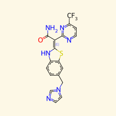 NC(=O)/C(=C1\Nc2ccc(Cn3ccnc3)cc2S1)c1nccc(C(F)(F)F)n1